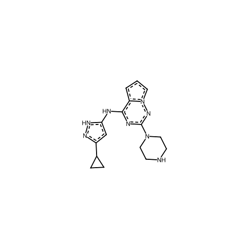 c1cc2c(Nc3cc(C4CC4)n[nH]3)nc(N3CCNCC3)nn2c1